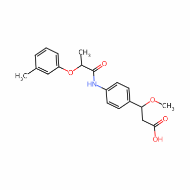 COC(CC(=O)O)c1ccc(NC(=O)C(C)Oc2cccc(C)c2)cc1